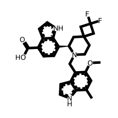 COc1cc(C)c2[nH]ccc2c1CN1CCC2(C[C@@H]1c1ccc(C(=O)O)c3cc[nH]c13)CC(F)(F)C2